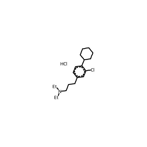 CCN(CC)CCCc1ccc(C2CCCCC2)c(Cl)c1.Cl